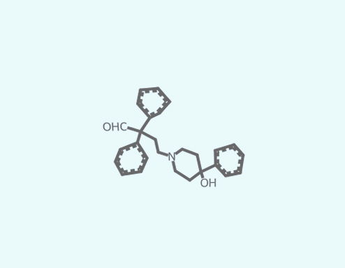 O=CC(CCN1CCC(O)(c2ccccc2)CC1)(c1ccccc1)c1ccccc1